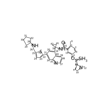 Cc1ccc(O[C@@H]([SiH3])[C@@H]2CCN2C)cc1C(=O)NC1(c2cc(-c3ccc(CNC4CCCC4)s3)cc3ncccc23)CC1